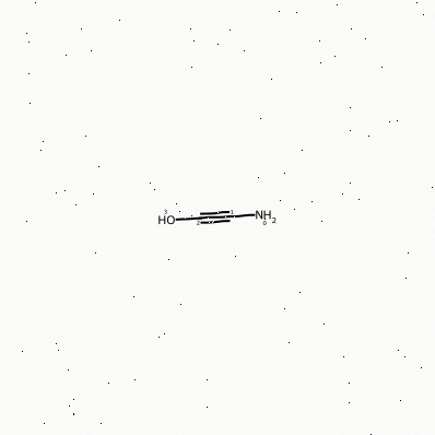 NC#CO